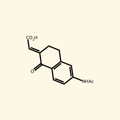 CC(=O)Nc1ccc2c(c1)CCC(=CC(=O)O)C2=O